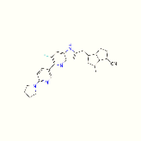 CC1CC(Cc2cc3nc(-c4ccc(N5CCCC5)nc4)c(F)cc3[nH]2)C2CCC(C#N)C12